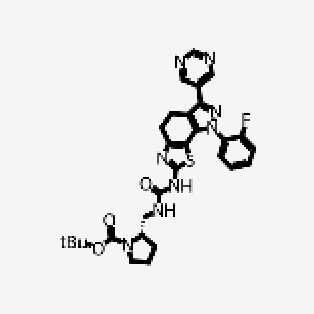 CC(C)(C)OC(=O)N1CCC[C@H]1CNC(=O)Nc1nc2c(s1)-c1c(c(-c3cncnc3)nn1-c1ccccc1F)CC2